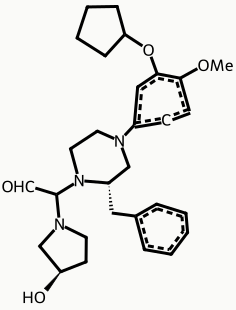 COc1ccc(N2CCN(C(C=O)N3CC[C@@H](O)C3)[C@@H](Cc3ccccc3)C2)cc1OC1CCCC1